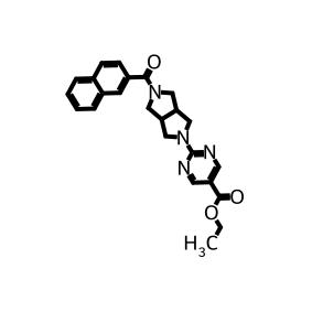 CCOC(=O)c1cnc(N2CC3CN(C(=O)c4ccc5ccccc5c4)CC3C2)nc1